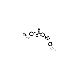 CC[S+]([O-])c1ccc(CC(=O)Nc2ccc(N3CCC(c4ccc(C(F)(F)F)cc4)C3)cc2)cc1